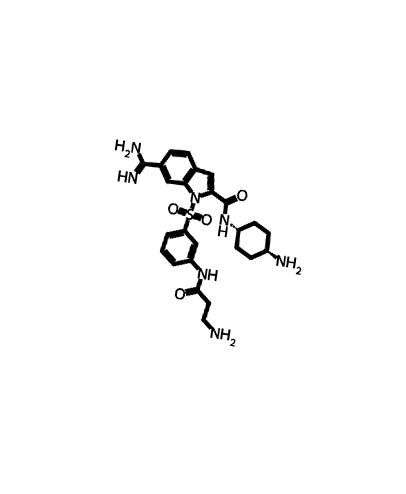 N=C(N)c1ccc2cc(C(=O)N[C@H]3CC[C@H](N)CC3)n(S(=O)(=O)c3cccc(NC(=O)CCN)c3)c2c1